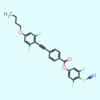 CCCCOc1cc(F)c(C#Cc2ccc(C(=O)Oc3cc(F)c(SC#N)c(F)c3)cc2)c(F)c1